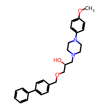 COc1ccc(N2CCN(C[C@H](O)COCc3ccc(-c4ccccc4)cc3)CC2)cc1